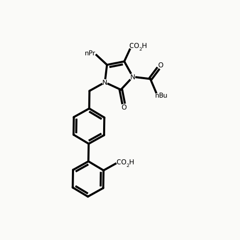 CCCCC(=O)n1c(C(=O)O)c(CCC)n(Cc2ccc(-c3ccccc3C(=O)O)cc2)c1=O